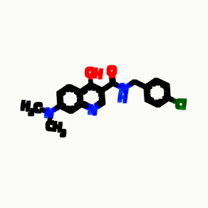 CN(C)c1ccc2c(O)c(C(=O)NCc3ccc(Cl)cc3)cnc2c1